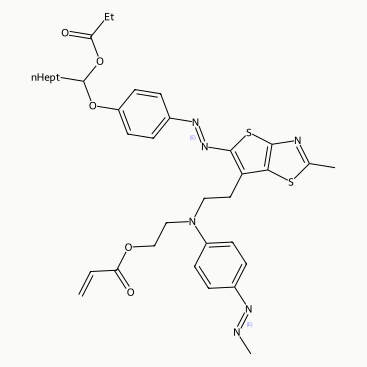 C=CC(=O)OCCN(CCc1c(/N=N/c2ccc(OC(CCCCCCC)OC(=O)CC)cc2)sc2nc(C)sc12)c1ccc(/N=N/C)cc1